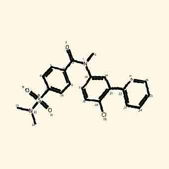 CN(C(=O)c1ccc(S(=O)(=O)N(C)C)cc1)c1ccc(Cl)c(-c2ccccn2)c1